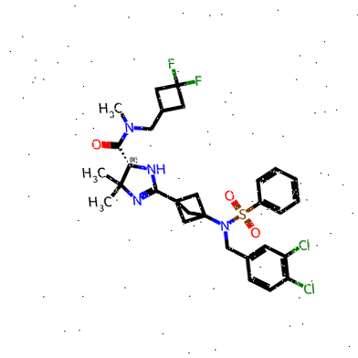 CN(CC1CC(F)(F)C1)C(=O)[C@@H]1NC(C23CC(N(Cc4ccc(Cl)c(Cl)c4)S(=O)(=O)c4ccccc4)(C2)C3)=NC1(C)C